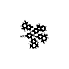 CCCCc1cc2c3c(c1)N(c1cc4c(cc1C)C(C)(C)CCC4(C)C)c1cc4c(cc1B3N(c1ccc3c(c1)C(C)(C)CCC3(C)C)c1cc3c(cc1-2)C(C)(C)CCC3(C)C)-c1ccccc1C4(C)C